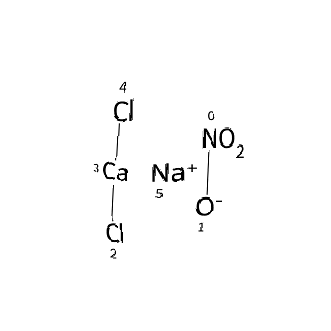 O=[N+]([O-])[O-].[Cl][Ca][Cl].[Na+]